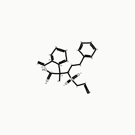 C=CCS(=O)(=O)C(CCc1ccccc1)C(C)(C(=O)O)c1ccccc1C=C